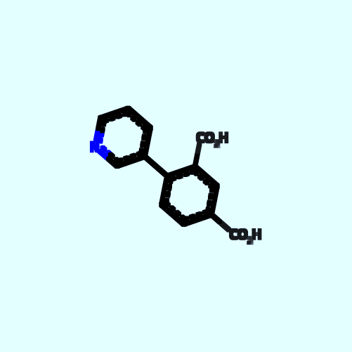 O=C(O)c1ccc(-c2cccnc2)c(C(=O)O)c1